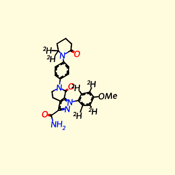 [2H]c1c([2H])c(-n2nc(C(N)=O)c3c2C(=O)N(c2ccc(N4C(=O)CCCC4([2H])[2H])cc2)CC3)c([2H])c([2H])c1OC